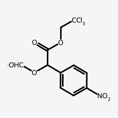 O=[C]OC(C(=O)OCC(Cl)(Cl)Cl)c1ccc([N+](=O)[O-])cc1